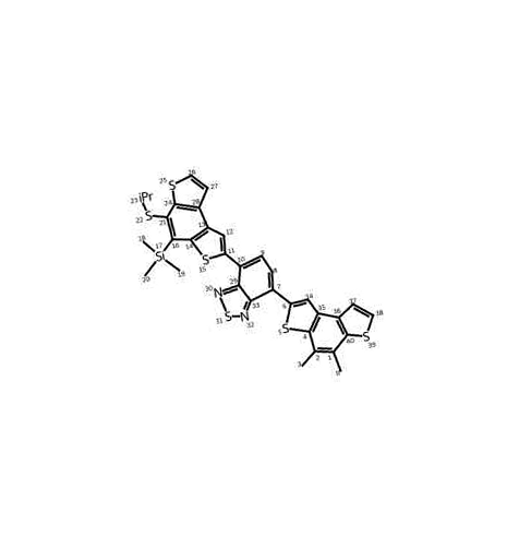 Cc1c(C)c2sc(-c3ccc(-c4cc5c(s4)c([Si](C)(C)C)c(SC(C)C)c4sccc45)c4nsnc34)cc2c2ccsc12